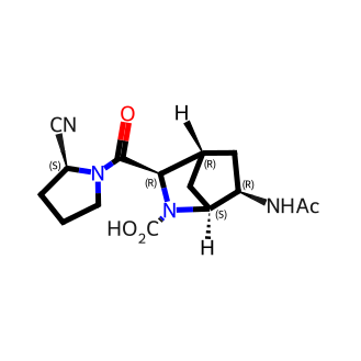 CC(=O)N[C@@H]1C[C@@H]2C[C@@H]1N(C(=O)O)[C@H]2C(=O)N1CCC[C@H]1C#N